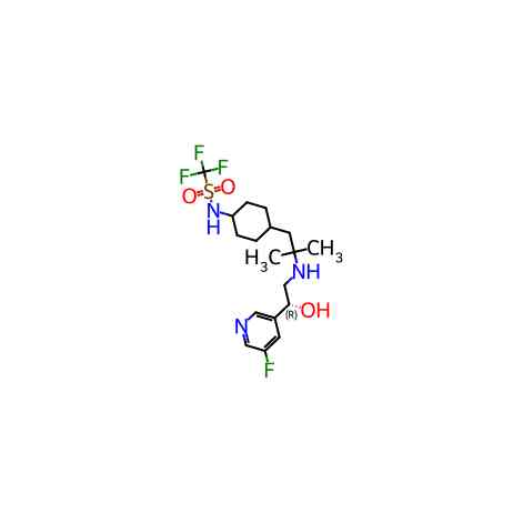 CC(C)(CC1CCC(NS(=O)(=O)C(F)(F)F)CC1)NC[C@H](O)c1cncc(F)c1